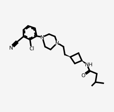 CC(C)CC(=O)N[C@H]1C[C@@H](CCN2CCN(c3cccc(C#N)c3Cl)CC2)C1